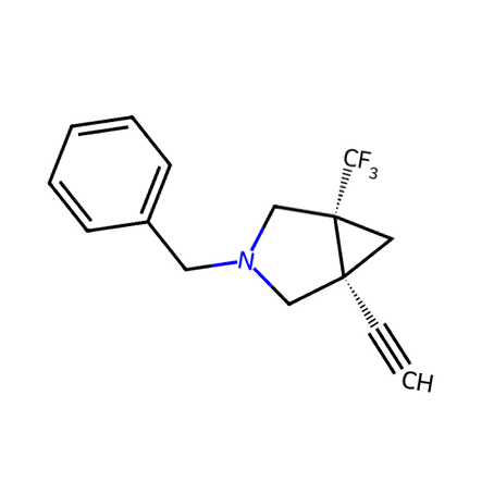 C#C[C@]12CN(Cc3ccccc3)C[C@@]1(C(F)(F)F)C2